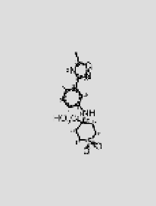 Cc1nc(-c2cccc(NC3(C(=O)O)CCS(=O)(=O)CC3)c2)no1